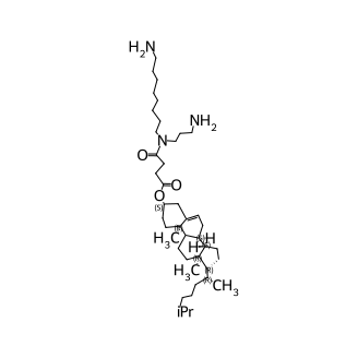 CC(C)CCC[C@@H](C)[C@H]1CC[C@H]2[C@@H]3CC=C4C[C@@H](OC(=O)CCC(=O)N(CCCN)CCCCCCCCN)CC[C@]4(C)C3CC[C@]12C